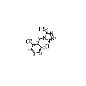 Sc1nnnn1Cc1c(Cl)cccc1Cl